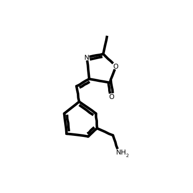 CC1=NC(=Cc2cccc(CN)c2)C(=O)O1